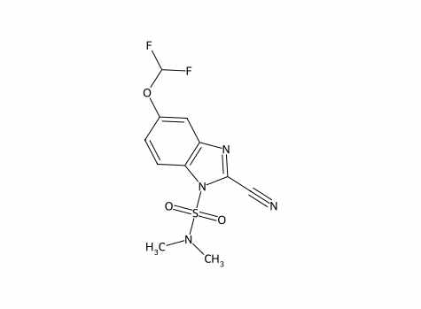 CN(C)S(=O)(=O)n1c(C#N)nc2cc(OC(F)F)ccc21